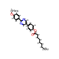 CCCCCCOc1ccc(-c2ncc(-c3ccc(OC(=O)CCCCCCC(C)CC)cc3)cn2)cc1